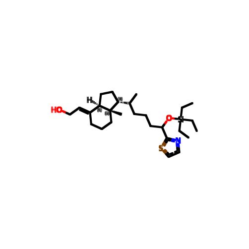 CC[Si](CC)(CC)OC(CCCC(C)[C@H]1CC[C@@H]2C(=CCO)CCC[C@]21C)c1nccs1